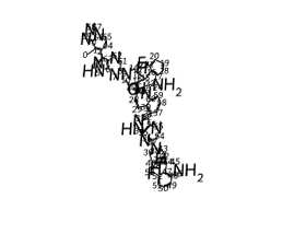 Cc1c(-c2n[nH]c3nc(N4CC[C@@H]5[C@H](C4)[C@]5(c4ccccc4F)C(N)n4c(=O)ccc5c(-c6n[nH]c7nc(N8CC[C@@H]9[C@H](C8)[C@@]9(CN)c8ccccc8F)cnc67)cccc54)cnc23)ccn2cnnc12